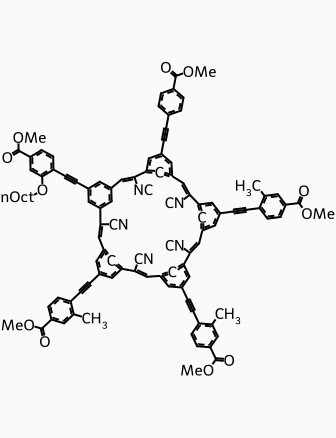 [C-]#[N+]/C1=C\c2cc(C#Cc3ccc(C(=O)OC)cc3OCCCCCCCC)cc(c2)/C(C#N)=C/c2cc(C#Cc3ccc(C(=O)OC)cc3C)cc(c2)/C(C#N)=C/c2cc(C#Cc3ccc(C(=O)OC)cc3C)cc(c2)/C([N+]#[C-])=C/c2cc(C#Cc3ccc(C(=O)OC)cc3C)cc(c2)/C([N+]#[C-])=C/c2cc(C#Cc3ccc(C(=O)OC)cc3)cc1c2